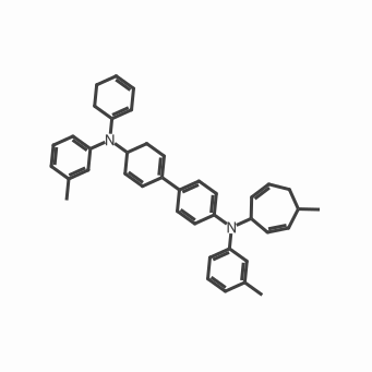 Cc1cccc(N(C2=CC=CCC2)C2C=CC(c3ccc(N(c4cccc(C)c4)C4C=CCC(C)C=C4)cc3)=CC2)c1